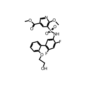 COC(=O)c1cnc(OC)c(S(=O)(=O)Nc2cc(-c3ccccc3OCCO)c(F)cc2F)c1